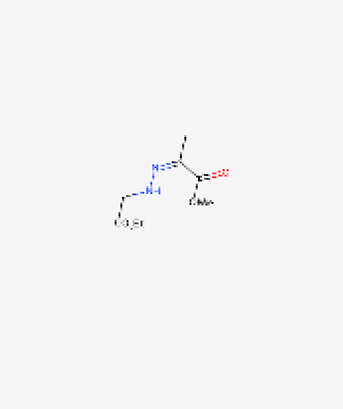 CCOC(=O)CN/N=C(/C)C(=O)OC